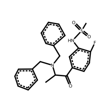 CC(C(=O)c1ccc(F)c(NS(C)(=O)=O)c1)N(Cc1ccccc1)Cc1ccccc1